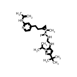 C=C(C)Nc1cc(CCC2=CS2(C)N(F)NCNc2cc(C(C)(C)C)nn2C(C)C)ccn1